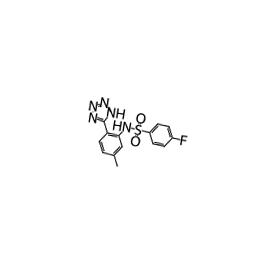 Cc1ccc(-c2nnn[nH]2)c(NS(=O)(=O)c2ccc(F)cc2)c1